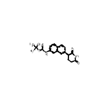 CC(C)(C)OC(=O)Nc1ccc2ccc(C3CCC(=O)NC3=O)cc2c1